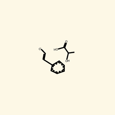 CC(O)C(=O)O.ClC=Cc1ccccc1